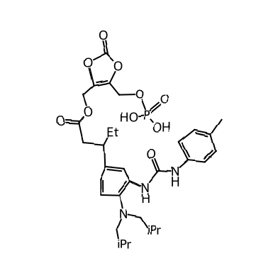 CCC(CC(=O)OCc1oc(=O)oc1COP(=O)(O)O)c1ccc(N(CC(C)C)CC(C)C)c(NC(=O)Nc2ccc(C)cc2)c1